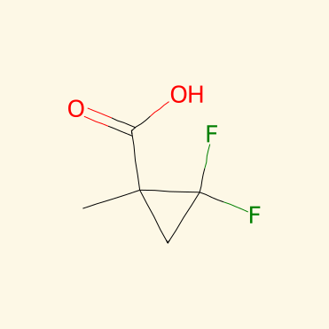 CC1(C(=O)O)CC1(F)F